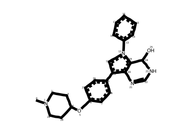 CN1CCC(Oc2ccc(-c3cn(-c4ccccc4)c4c3N=CNC4O)cc2)CC1